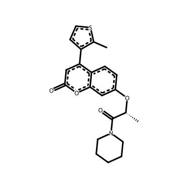 Cc1sccc1-c1cc(=O)oc2cc(O[C@H](C)C(=O)N3CCCCC3)ccc12